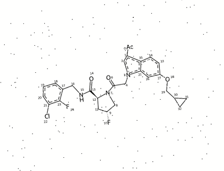 CC(=O)c1cn(CC(=O)N2C[C@H](F)C[C@H]2C(=O)NCc2cccc(Cl)c2F)c2cc(OCC3CC3)ccc12